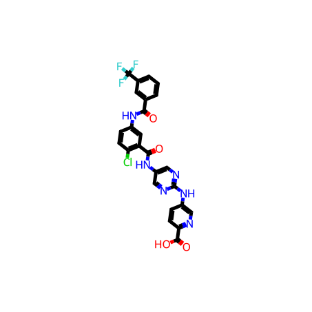 O=C(Nc1ccc(Cl)c(C(=O)Nc2cnc(Nc3ccc(C(=O)O)nc3)nc2)c1)c1cccc(C(F)(F)F)c1